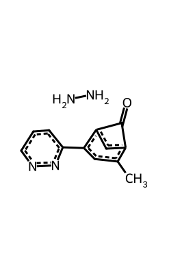 Cc1cc(-c2cccnn2)c2cc1C2=O.NN